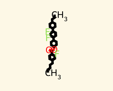 CCCCCc1ccc(C(=O)OC2CCC(c3ccc(C4CCC(CCC)CC4)c(F)c3F)CC2)c(F)c1